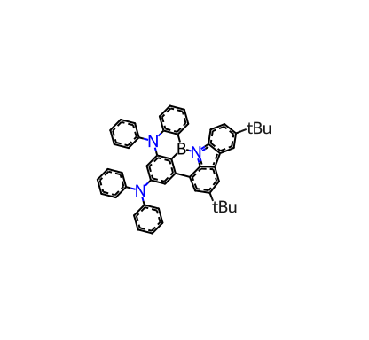 CC(C)(C)c1ccc2c(c1)c1cc(C(C)(C)C)cc3c1n2B1c2ccccc2N(c2ccccc2)c2cc(N(c4ccccc4)c4ccccc4)cc-3c21